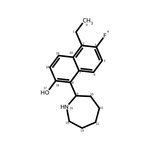 CCc1c(F)ccc2c(C3CCCCCN3)c(O)ccc12